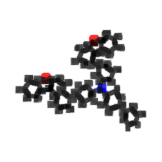 c1ccc(-c2ccc(N(c3ccc(-c4cccc5c4ccc4oc6ccccc6c45)cc3)c3cccc(-c4cccc5oc6ccccc6c45)c3)cc2)cc1